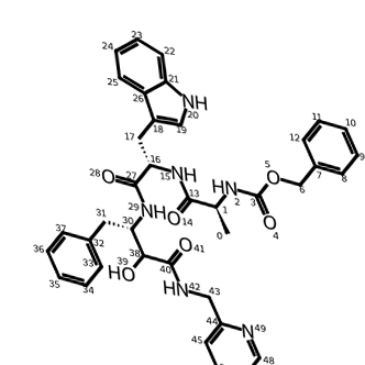 C[C@H](NC(=O)OCc1ccccc1)C(=O)N[C@@H](Cc1c[nH]c2ccccc12)C(=O)N[C@@H](Cc1ccccc1)C(O)C(=O)NCc1ccccn1